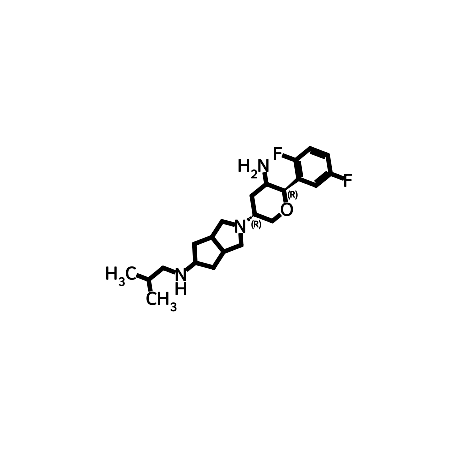 CC(C)CNC1CC2CN([C@H]3CO[C@H](c4cc(F)ccc4F)C(N)C3)CC2C1